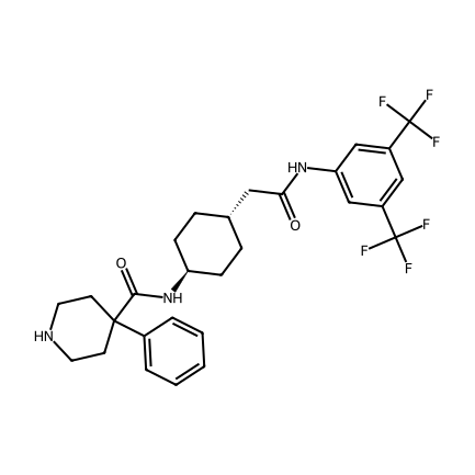 O=C(C[C@H]1CC[C@H](NC(=O)C2(c3ccccc3)CCNCC2)CC1)Nc1cc(C(F)(F)F)cc(C(F)(F)F)c1